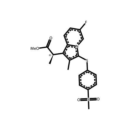 COC(=O)[C@H](C)c1c(C)c(Sc2ccc(S(C)(=O)=O)cc2)n2cc(F)ccc12